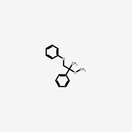 COC(C)(COc1ccccc1)c1ccccc1